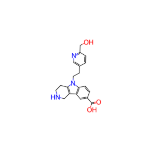 O=C(O)c1ccc2c(c1)c1c(n2CCc2ccc(CO)nc2)CCNC1